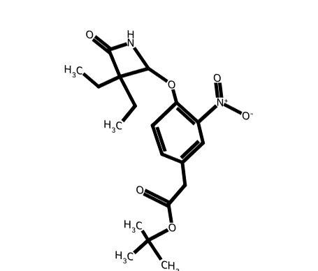 CCC1(CC)C(=O)NC1Oc1ccc(CC(=O)OC(C)(C)C)cc1[N+](=O)[O-]